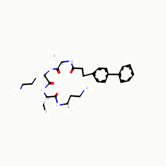 CC(=O)[C@H](CCN)NC(=O)[C@@H](CC(C)C)NC(=O)[C@H](CCCN)NC(=O)[C@@H](NC(=O)CCc1ccc(-c2ccccc2)cc1)C(C)C